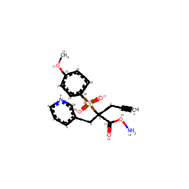 C#CCC(Cc1cccnc1)(C(=O)ON)S(=O)(=O)c1ccc(OC)cc1